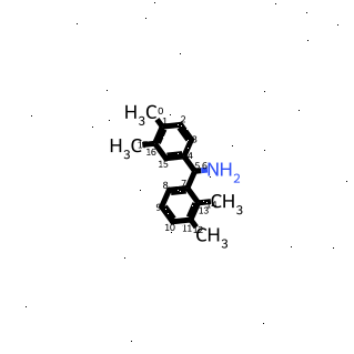 Cc1ccc(C(N)c2cccc(C)c2C)cc1C